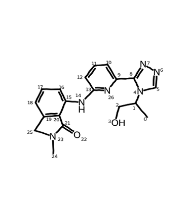 CC(CO)n1cnnc1-c1cccc(Nc2cccc3c2C(=O)N(C)C3)n1